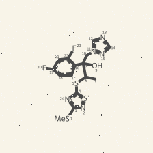 CSc1nsc(SC(C)C(O)(Cn2cncn2)c2ccc(F)cc2F)n1